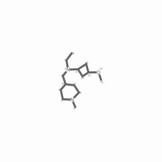 CCN(CC1CCN(C)CC1)C1CC(OC)C1